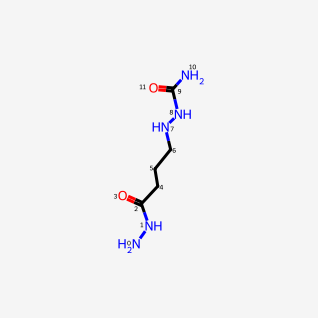 NNC(=O)CCCNNC(N)=O